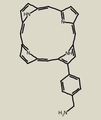 NCc1ccc(-c2cc3cc4nc(cc5ccc(cc6nc(cc2[nH]3)C=C6)[nH]5)C=C4)cc1